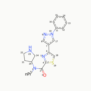 CCCN(C(=O)c1nc(-c2cnn(-c3ccccc3)c2)cs1)C1CCNC1